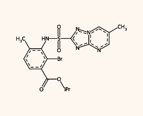 Cc1cnc2nc(S(=O)(=O)Nc3c(C)ccc(C(=O)OC(C)C)c3Br)nn2c1